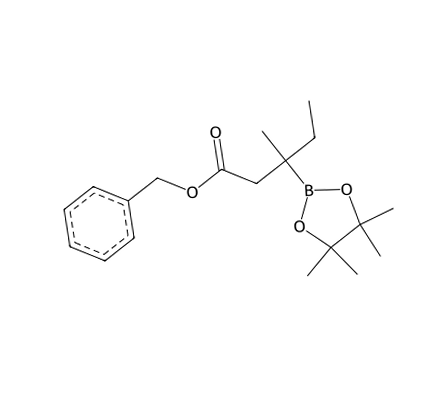 CCC(C)(CC(=O)OCc1ccccc1)B1OC(C)(C)C(C)(C)O1